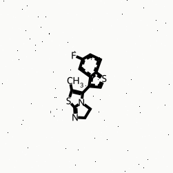 CC1=C(c2csc3ccc(F)cc23)N2CCN=C2S1